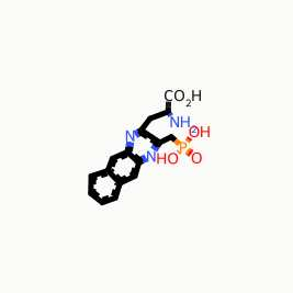 NC(Cc1nc2cc3ccccc3cc2nc1CP(=O)(O)O)C(=O)O